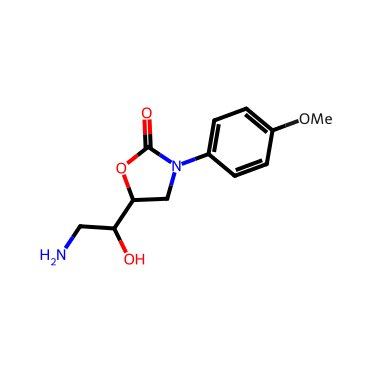 COc1ccc(N2CC(C(O)CN)OC2=O)cc1